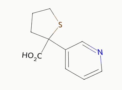 O=C(O)C1(c2cccnc2)CCCS1